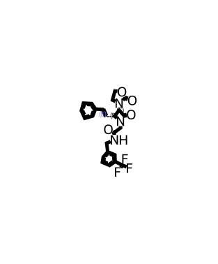 O=C(CN1C(=O)[C@@H](N2CCOC2=O)[C@H]1/C=C/c1ccccc1)NCc1cccc(C(F)(F)F)c1